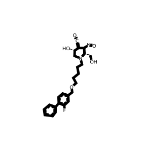 O=C=C1C(N=O)[C@H](CO)N(CCCCCOCc2ccc(-c3ccccc3)c(F)c2)C[C@@H]1O